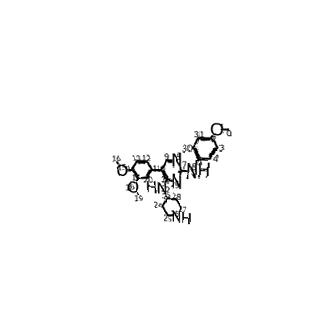 COc1ccc(Nc2ncc(-c3ccc(OC)c(OC)c3)c(NC3CCNCC3)n2)cc1